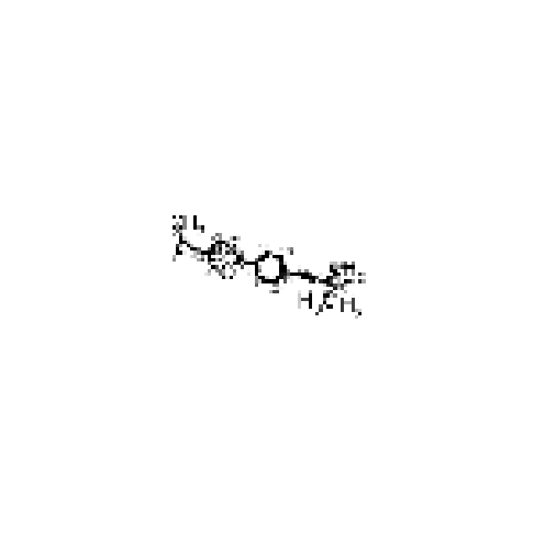 C[C@@H]1C[C@H]1C12COC(c3ccc(C#C[Si](C)(C)C)cc3)(OC1)OC2